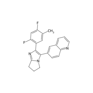 Cc1cc(-c2nc3n(c2-c2ccc4ncccc4c2)CCC3)c(F)cc1F